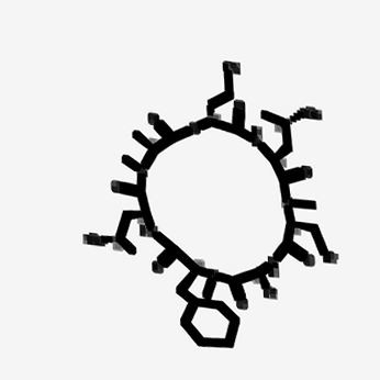 CCCC[C@@H](C)C[C@@H]1NC(=O)[C@H](CC2CCCCC2)N(C)C(=O)[C@H](CC)NC(=O)[C@H](CC(C)C)N(C)C(=O)[C@H](C[C@H](C)CCCC)NC(=O)[C@@H](CCC#N)OC(=O)[C@H](C)N(C)C1=O